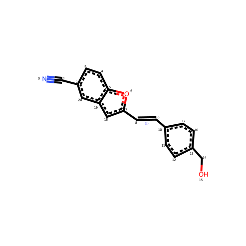 N#Cc1ccc2oc(/C=C/c3ccc(CO)cc3)cc2c1